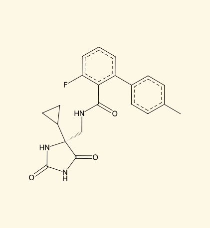 Cc1ccc(-c2cccc(F)c2C(=O)NC[C@@]2(C3CC3)NC(=O)NC2=O)cc1